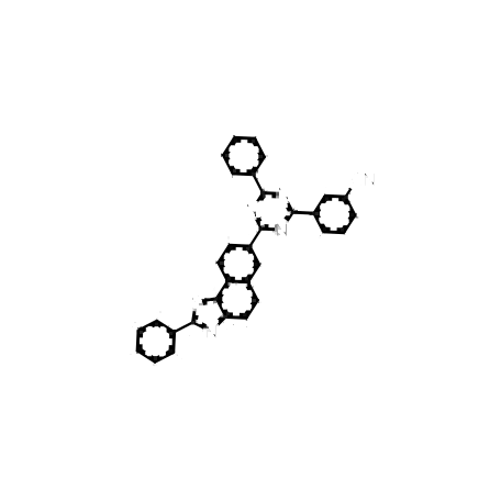 N#Cc1cccc(-c2nc(-c3ccccc3)nc(-c3ccc4c(ccc5nc(-c6ccccc6)sc54)c3)n2)c1